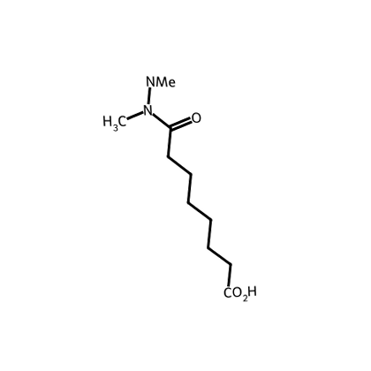 CNN(C)C(=O)CCCCCCC(=O)O